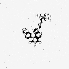 C[Si](C)(C)CCOCn1ccc2c1ncc1c(=O)[nH]c(=O)n(C3CCN(CC#N)CC3)c12